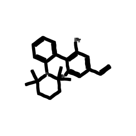 C=Cc1cc(C(C)C)c(-c2ccccc2P2C(C)(C)CCCC2(C)C)c(C(C)C)c1